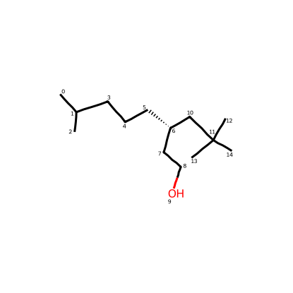 CC(C)CCC[C@@H](CCO)CC(C)(C)C